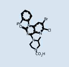 CC(C)c1ccccc1-n1c(=O)nc(N2CCN(C(=O)O)CC2C)c2nc(Cl)c(Br)cc21